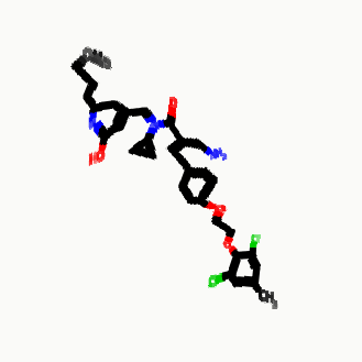 COCCCc1cc(CN(C(=O)C(CN)Cc2ccc(OCCOc3c(Cl)cc(C)cc3Cl)cc2)C2CC2)cc(O)n1